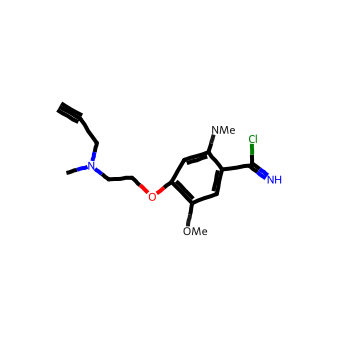 C#CCN(C)CCOc1cc(NC)c(C(=N)Cl)cc1OC